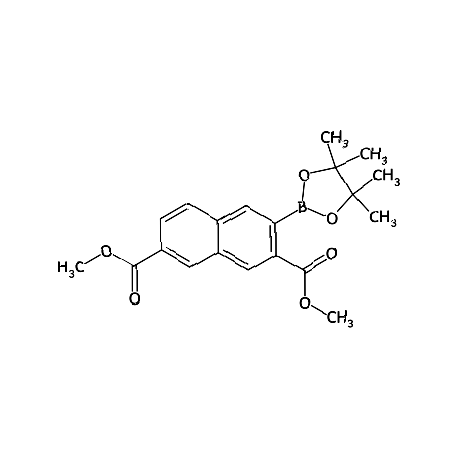 COC(=O)c1ccc2cc(B3OC(C)(C)C(C)(C)O3)c(C(=O)OC)cc2c1